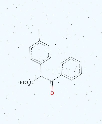 CCOC(=O)C(C(=O)c1ccccc1)c1ccc(C)cc1